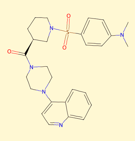 CN(C)c1ccc(S(=O)(=O)N2CCC[C@H](C(=O)N3CCN(c4ccnc5ccccc45)CC3)C2)cc1